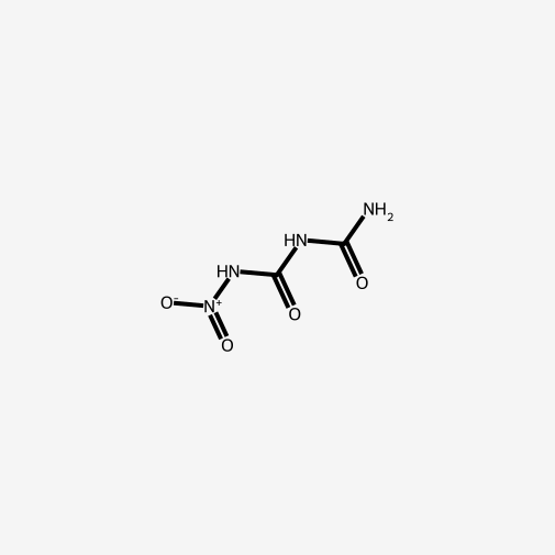 NC(=O)NC(=O)N[N+](=O)[O-]